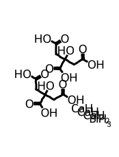 O=C(O)CC(O)(CC(=O)O)C(=O)O.O=C(O)CC(O)(CC(=O)O)C(=O)O.[BiH3].[CaH2].[CaH2].[CaH2]